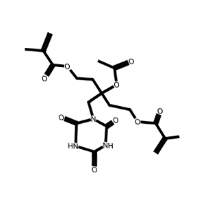 C=C(C)C(=O)OCCC(CCOC(=O)C(=C)C)(Cn1c(=O)[nH]c(=O)[nH]c1=O)OC(C)=O